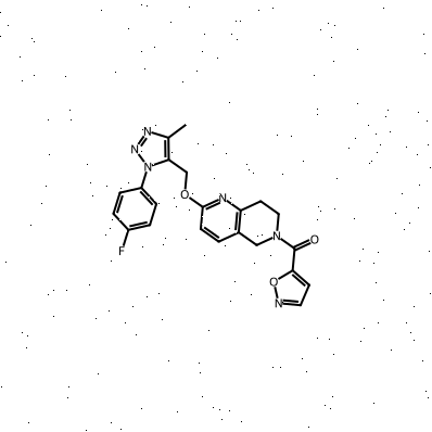 Cc1nnn(-c2ccc(F)cc2)c1COc1ccc2c(n1)CCN(C(=O)c1ccno1)C2